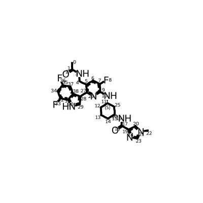 CC(=O)NCc1cc(F)c(N[C@H]2CCC[C@@H](NC(=O)c3cn(C)cn3)C2)nc1-c1c[nH]c2c(F)cc(F)cc12